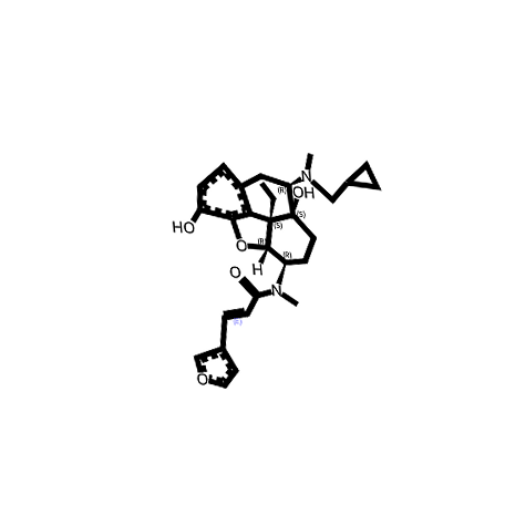 CC[C@]12c3c4ccc(O)c3O[C@H]1[C@H](N(C)C(=O)/C=C/c1ccoc1)CC[C@@]2(O)[C@H](N(C)CC1CC1)C4